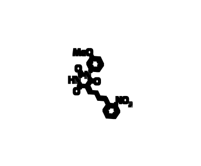 COc1cccc(N2C(=O)NC(=O)C(=CCC=Cc3ccccc3[N+](=O)[O-])C2=O)c1